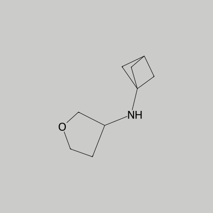 C1CC(NC23CC(C2)C3)CO1